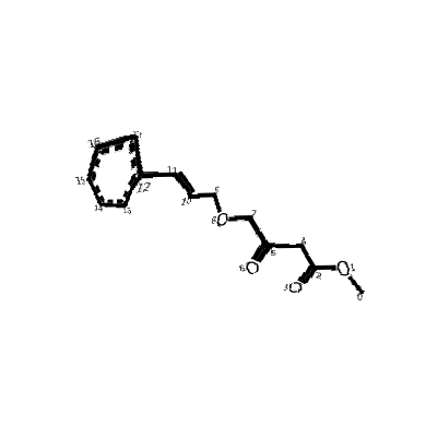 COC(=O)CC(=O)COCC=Cc1ccccc1